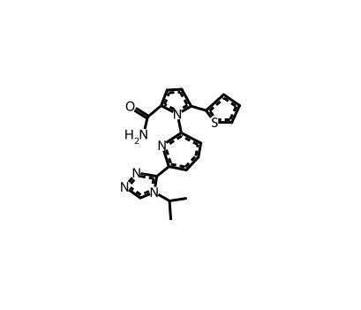 CC(C)n1cnnc1-c1cccc(-n2c(C(N)=O)ccc2-c2cccs2)n1